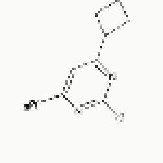 CCCc1cc(C2CCC2)nc(Cl)n1